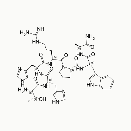 C[C@H](NC(=O)[C@H](Cc1c[nH]c2ccccc12)NC(=O)[C@@H]1CCCN1C(=O)[C@H](CCCNC(=N)N)NC(=O)[C@H](Cc1c[nH]cn1)NC(=O)[C@H](Cc1c[nH]cn1)NC(=O)[C@@H](N)[C@@H](C)O)C(N)=O